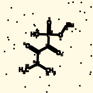 CCC(C)OP(=O)(O)C(=O)C(=O)N(C)C